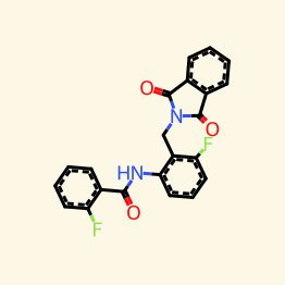 O=C(Nc1cccc(F)c1CN1C(=O)c2ccccc2C1=O)c1ccccc1F